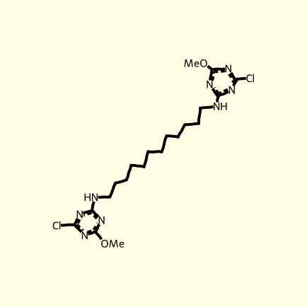 COc1nc(Cl)nc(NCCCCCCCCCCCCNc2nc(Cl)nc(OC)n2)n1